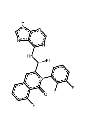 CC[C@@H](Nc1ncnc2[nH]cnc12)c1cc2cccc(F)c2c(=O)n1-c1cccc(F)c1F